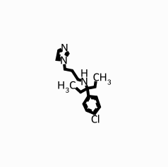 CCC(CC)(NCCCn1ccnc1)c1ccc(Cl)cc1